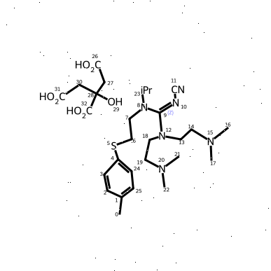 Cc1ccc(SCCN(/C(=N\C#N)N(CCN(C)C)CCN(C)C)C(C)C)cc1.O=C(O)CC(O)(CC(=O)O)C(=O)O